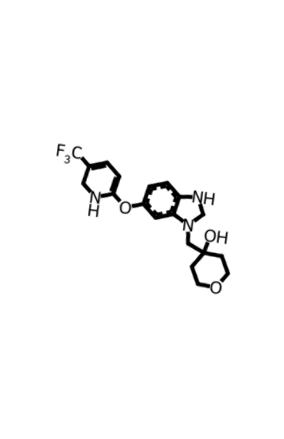 OC1(CN2CNc3ccc(OC4=CC=C(C(F)(F)F)CN4)cc32)CCOCC1